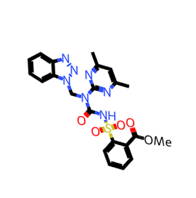 COC(=O)c1ccccc1S(=O)(=O)NC(=O)N(Cn1nnc2ccccc21)c1nc(C)cc(C)n1